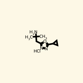 CC(C)(N)Cc1nnc(C2CC2)o1.Cl